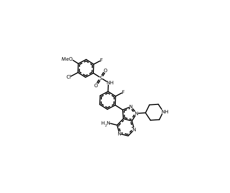 COc1cc(F)c(S(=O)(=O)Nc2cccc(-c3nn(C4CCNCC4)c4ncnc(N)c34)c2F)cc1Cl